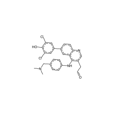 CN(C)Cc1ccc(Nc2c(CC=O)cnc3ccc(-c4cc(Cl)c(O)c(Cl)c4)cc23)cc1